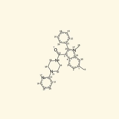 Cc1ccc2c(C(=O)N3CCN(c4ccccn4)CC3)c(-c3ccccc3)n(C)c2c1